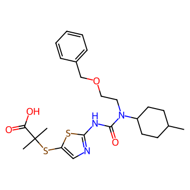 CC1CCC(N(CCOCc2ccccc2)C(=O)Nc2ncc(SC(C)(C)C(=O)O)s2)CC1